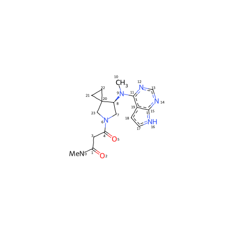 CNC(=O)CC(=O)N1C[C@H](N(C)c2ncnc3[nH]ccc23)C2(CC2)C1